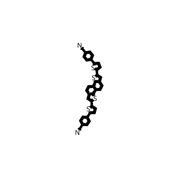 N#Cc1ccc(-c2ccc(-c3cc4ccc5c(ccc6cc(-c7ccc(-c8ccc(C#N)cc8)s7)sc65)c4s3)s2)cc1